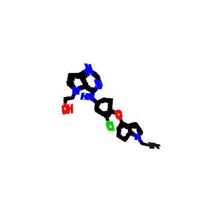 CC(C)Cn1ccc2c(Oc3ccc(Nc4ncnc5ccn(CCO)c45)cc3Cl)cccc21